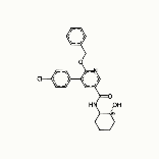 O=C(NC1CCCC[C@H]1O)c1cnc(OCc2ccccc2)c(-c2ccc(Cl)cc2)c1